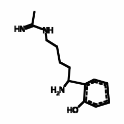 CC(=N)NCCCCC(N)c1ccccc1O